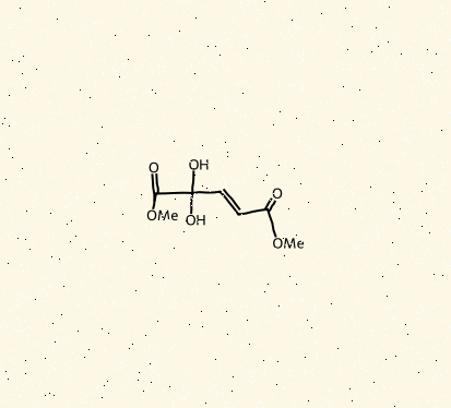 COC(=O)/C=C/C(O)(O)C(=O)OC